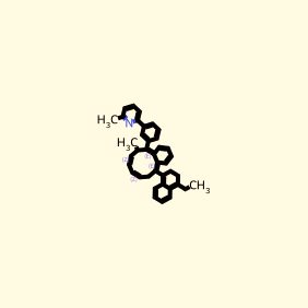 CCC1=c2ccccc2=C(/C2=c3\cccc\c3=C(/c3cccc(-c4cccc(C)n4)c3)C(C)/C=C\C=C/C2)CC1